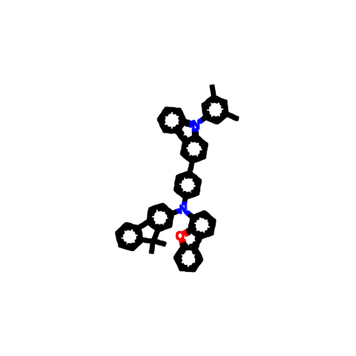 Cc1cc(C)cc(-n2c3ccccc3c3cc(-c4ccc(N(c5ccc6c(c5)C(C)(C)c5ccccc5-6)c5cccc6c5oc5ccccc56)cc4)ccc32)c1